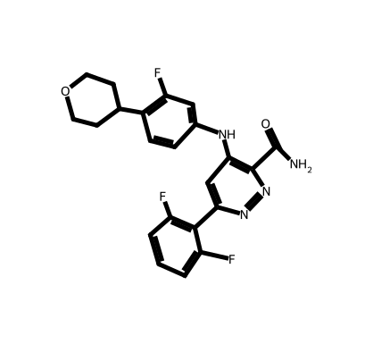 NC(=O)c1nnc(-c2c(F)cccc2F)cc1Nc1ccc(C2CCOCC2)c(F)c1